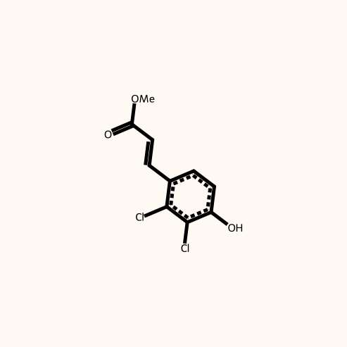 COC(=O)/C=C/c1ccc(O)c(Cl)c1Cl